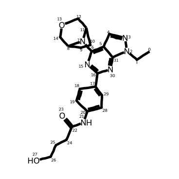 CCn1ncc2c(N3C4CCC3COC4)nc(-c3ccc(NC(=O)CCCO)cc3)nc21